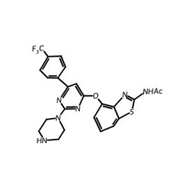 CC(=O)Nc1nc2c(Oc3cc(-c4ccc(C(F)(F)F)cc4)nc(N4CCNCC4)n3)cccc2s1